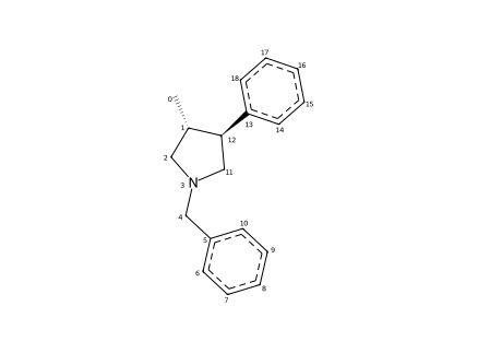 C[C@H]1CN(Cc2ccccc2)C[C@@H]1c1ccccc1